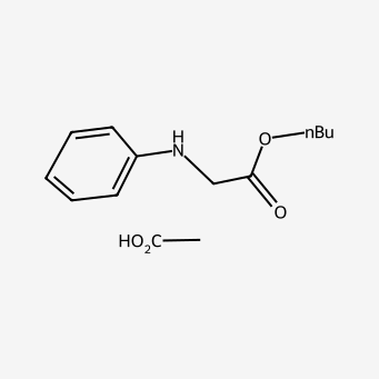 CC(=O)O.CCCCOC(=O)CNc1ccccc1